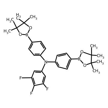 CC1(C)OB(c2ccc(N(c3ccc(B4OC(C)(C)C(C)(C)O4)cc3)c3cc(F)c(F)c(F)c3)cc2)OC1(C)C